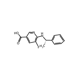 C[C@H](Nc1ncc(C(=O)O)cc1F)c1ccccc1